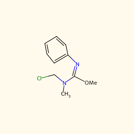 COC(=Nc1ccccc1)N(C)CCl